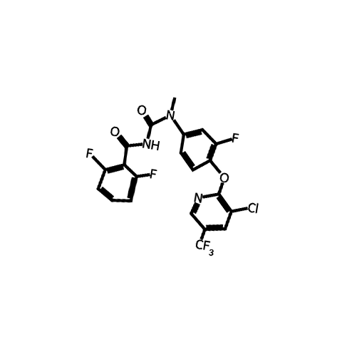 CN(C(=O)NC(=O)c1c(F)cccc1F)c1ccc(Oc2ncc(C(F)(F)F)cc2Cl)c(F)c1